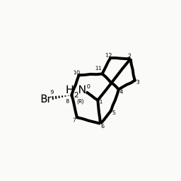 NC1C2CC3CC1C[C@H](Br)CC3C2